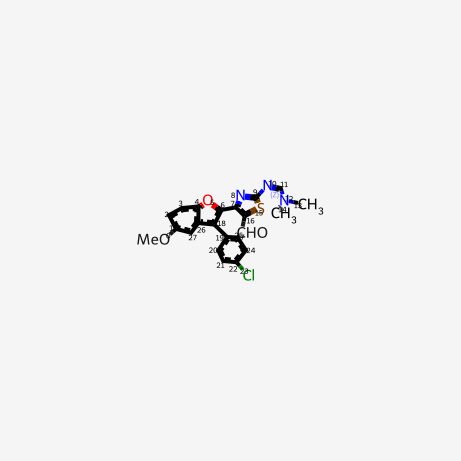 COc1ccc2oc(-c3nc(/N=C\N(C)C)sc3C=O)c(-c3ccc(Cl)cc3)c2c1